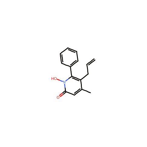 C=CCc1c(C)cc(=O)n(O)c1-c1ccccc1